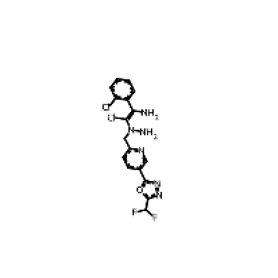 N/C(=C(/Cl)N(N)Cc1ccc(-c2nnc(C(F)F)o2)cn1)c1ccccc1Cl